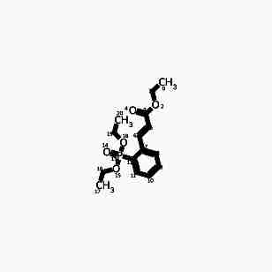 CCOC(=O)C=Cc1ccccc1P(=O)(OCC)OCC